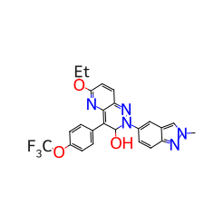 CCOc1ccc2c(n1)=C(c1ccc(OC(F)(F)F)cc1)C(O)N(c1ccc3nn(C)cc3c1)N=2